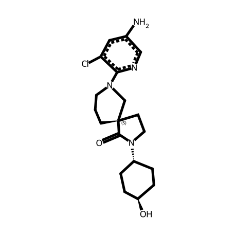 Nc1cnc(N2CCC[C@]3(CCN([C@H]4CC[C@H](O)CC4)C3=O)C2)c(Cl)c1